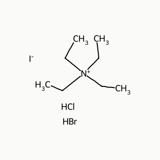 Br.CC[N+](CC)(CC)CC.Cl.[I-]